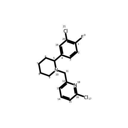 Fc1ccc(C2CCCCN2Cc2cccc(Cl)n2)cc1Cl